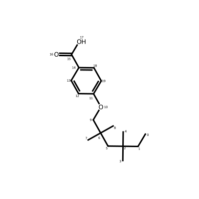 CCC(C)(C)CC(C)(C)COc1ccc(C(=O)O)cc1